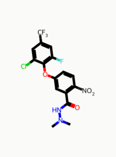 CN(C)NC(=O)c1cc(Oc2c(F)cc(C(F)(F)F)cc2Cl)ccc1[N+](=O)[O-]